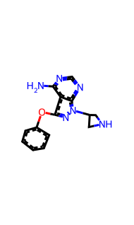 Nc1ncnc2c1c(Oc1ccccc1)nn2C1CNC1